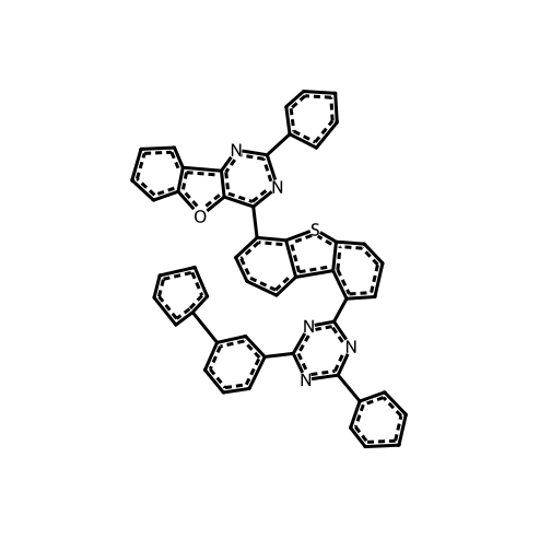 c1ccc(-c2cccc(-c3nc(-c4ccccc4)nc(-c4cccc5sc6c(-c7nc(-c8ccccc8)nc8c7oc7ccccc78)cccc6c45)n3)c2)cc1